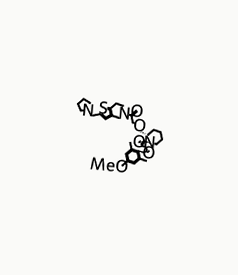 COc1cc(C)c(S(=O)(=O)N2CCCC[C@H]2COCC(=O)N2CCc3sc(CN4CCCC4)cc3C2)c(C)c1